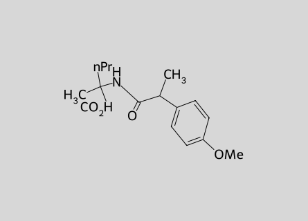 CCCC(C)(NC(=O)C(C)c1ccc(OC)cc1)C(=O)O